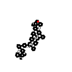 c1ccc(-c2cc(-c3ccccc3-c3ccc(-c4cccc5c4Oc4ccccc4C54c5ccccc5-c5ccccc54)cc3)nc(-c3ccccc3-c3ccc(-c4cc(-c5ccc(-c6ccccc6-c6cccc7c6Oc6ccccc6C76c7ccccc7-c7ccccc76)cc5)nc(-c5ccccc5)n4)cc3)n2)cc1